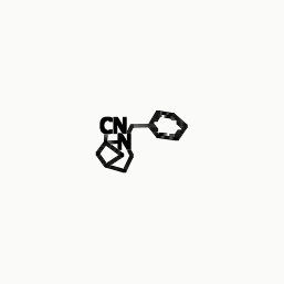 N#CC12CC(CCN1Cc1ccccc1)C2